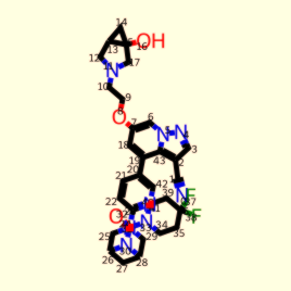 N#Cc1cnn2cc(OCCN3CC4CC4(O)C3)cc(-c3ccc(N4CC5CC(C4)N5C(=O)N4CCC(F)(F)CC4)nc3)c12